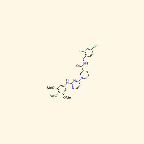 COc1cc(Nc2nccc(N3CCCC(C(=O)NCc4ccc(Br)cc4F)C3)n2)cc(OC)c1OC